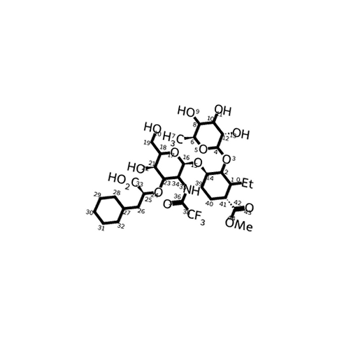 CCC1C(OC2O[C@@H](C)C(O)C(O)[C@@H]2O)[C@H](O[C@@H]2OC(CO)[C@H](O)C(O[C@@H](CC3CCCCC3)C(=O)O)C2NC(=O)C(F)(F)F)CC[C@H]1C(=O)OC